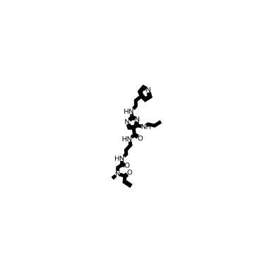 C=CC(=O)N(C)CC(=O)NCCCNC(=O)c1cnc(NCCc2ccncc2)nc1NCCC